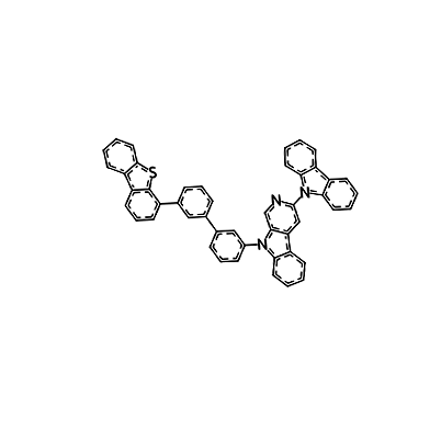 c1cc(-c2cccc(-n3c4ccccc4c4cc(-n5c6ccccc6c6ccccc65)ncc43)c2)cc(-c2cccc3c2sc2ccccc23)c1